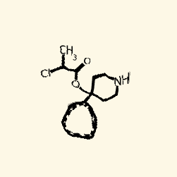 CC(Cl)C(=O)OC1(c2ccccc2)CCNCC1